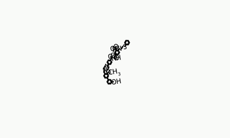 COc1cc(-c2cccc(O)c2)ccc1CN1CCN(c2ccc(C(=O)NS(=O)(=O)c3ccc(NCCSc4ccccc4)c([N+](=O)[O-])c3)cc2)CC1